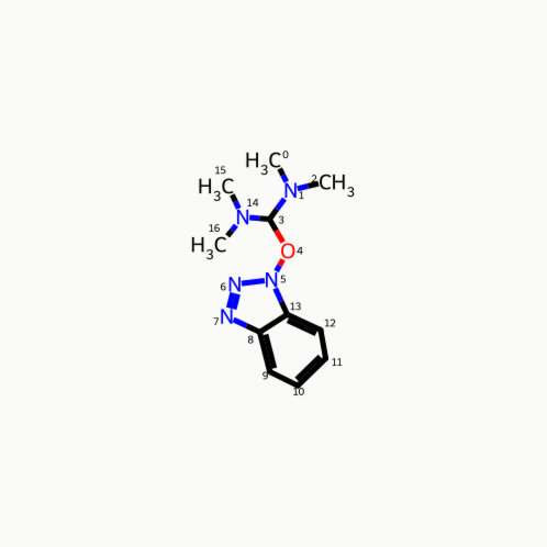 CN(C)C(On1nnc2ccccc21)N(C)C